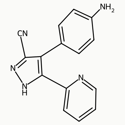 N#Cc1n[nH]c(-c2ccccn2)c1-c1ccc(N)cc1